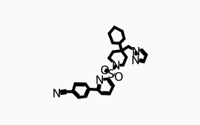 N#Cc1ccc(-c2cccc(S(=O)(=O)N3CCC(Cn4cccn4)(C4CCCCC4)CC3)n2)cc1